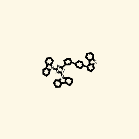 c1cc(-c2ccc(-c3cccc4sc5ccccc5c34)cc2)cc(-c2nc(-n3c4ccccc4c4ccccc43)nc(-n3c4ccccc4c4ccccc43)n2)c1